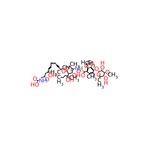 CCC[C@](C)(O)C1C(OC(C)(C)C#C/C=C\C#C[C@@H](O)CC(=O)CNC(=O)O)OC(C)C(NOSC(=O)c2c(C)c(I)c(OC3OC(C)C(O)C(OC)C3O)c(OC)c2OC)C1O